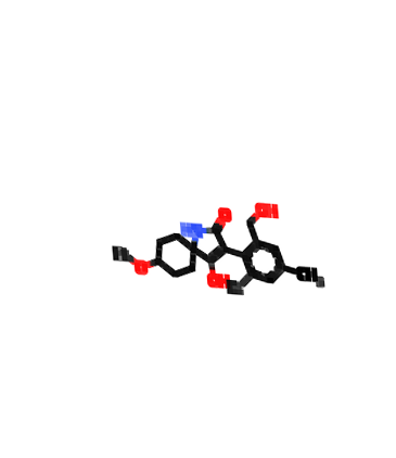 CCOC1CCC2(CC1)NC(=O)C(c1c(CC)cc(C)cc1CO)=C2O